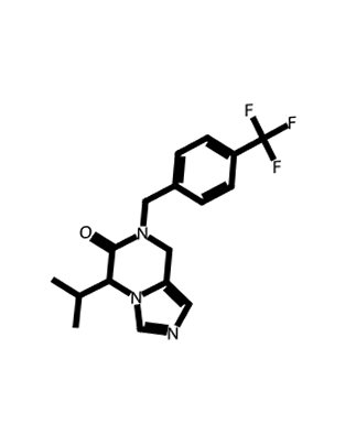 CC(C)C1C(=O)N(Cc2ccc(C(F)(F)F)cc2)Cc2cncn21